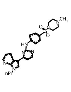 CCCn1cc(-c2ccnc(Nc3ccc(S(=O)(=O)N4CCN(C)CC4)cc3)n2)c2cccnc21